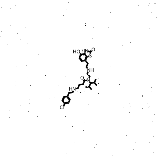 CC(C)C(C(C)C)N(CCNCCc1ccc(O)c2[nH]c(=O)sc12)C(=O)CCCNCCc1ccc(Cl)cc1